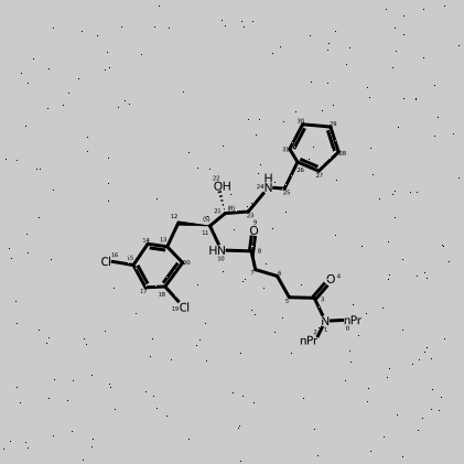 CCCN(CCC)C(=O)CCCC(=O)N[C@@H](Cc1cc(Cl)cc(Cl)c1)[C@H](O)CNCc1ccccc1